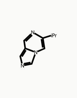 CC(C)c1cn2cncc2cn1